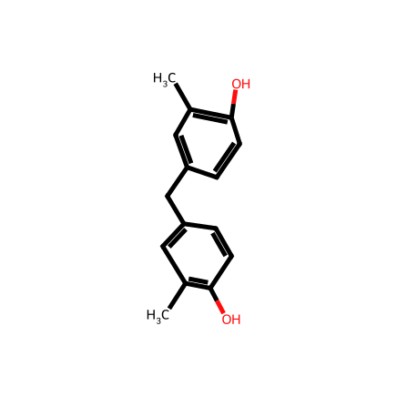 Cc1cc(Cc2ccc(O)c(C)c2)ccc1O